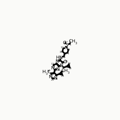 CC[S+]([O-])N1CCC(CNc2nc3cnc(-c4c(C)ncnc4C4CC4)nc3n([C@@H](C)C3CC3)c2=O)CC1